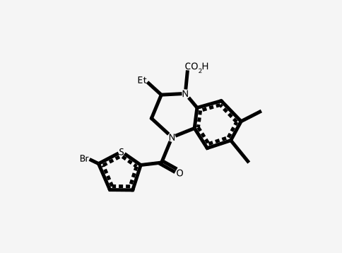 CCC1CN(C(=O)c2ccc(Br)s2)c2cc(C)c(C)cc2N1C(=O)O